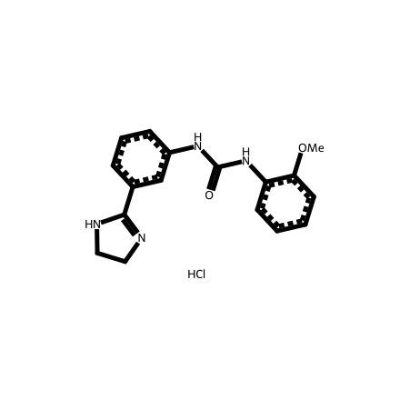 COc1ccccc1NC(=O)Nc1cccc(C2=NCCN2)c1.Cl